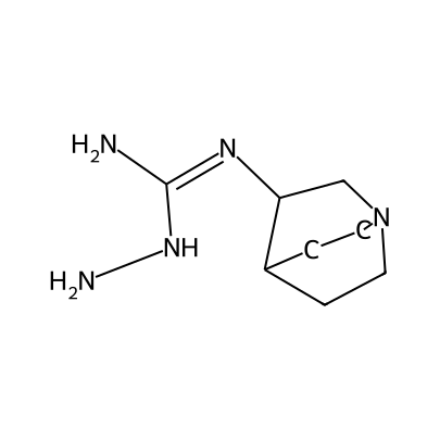 NNC(N)=NC1CN2CCC1CC2